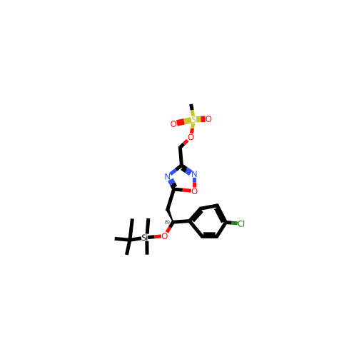 CC(C)(C)[Si](C)(C)O[C@@H](Cc1nc(COS(C)(=O)=O)no1)c1ccc(Cl)cc1